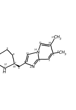 Cc1cc2nc(C[C@@H]3CCCCN3)cn2cc1C